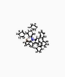 c1ccc(-c2cc(-c3ccccc3)cc(-n3c4ccc(-c5c(-c6ccccc6)cccc5-c5ccccc5)cc4c4ccc5ccsc5c43)c2)cc1